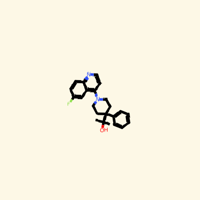 CC(C)(O)C1(c2ccccc2)CCN(c2[c]cnc3ccc(F)cc23)CC1